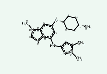 Cc1cc(Nc2cc(O[C@H]3CC[C@@H](N)CC3)cc3c2ncn3C)nn1C